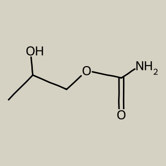 CC(O)COC(N)=O